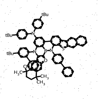 CC(C)(C)c1ccc(N(c2ccc(C(C)(C)C)cc2)c2cc3c4c(c2)N(c2ccc(C(C)(C)C)cc2-c2ccccc2)c2c(oc5cc6c(cc25)C(C)(C)CCC6(C)C)B4N(c2ccc(-c4ccccc4)cc2)c2c-3ccc3c2sc2cc4ccccc4cc23)cc1